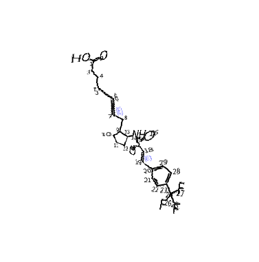 O=C(O)CCC/C=C/CC1CCCC1NS(=O)(=O)/C=C/c1ccc(C(F)(F)F)cc1